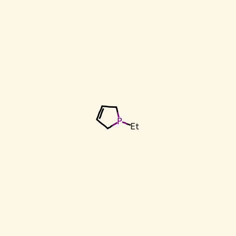 CCP1CC=CC1